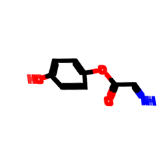 N=CC(=O)Oc1ccc(O)cc1